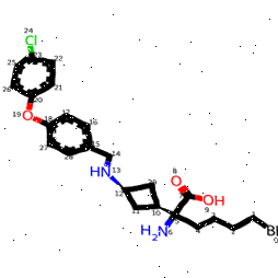 BCCCCC(N)(C(=O)O)[C@H]1C[C@@H](NCc2ccc(Oc3ccc(Cl)cc3)cc2)C1